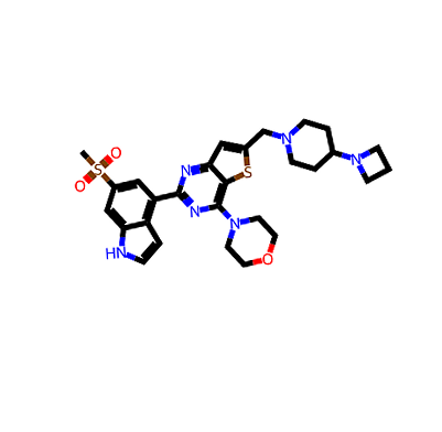 CS(=O)(=O)c1cc(-c2nc(N3CCOCC3)c3sc(CN4CCC(N5CCC5)CC4)cc3n2)c2cc[nH]c2c1